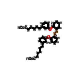 CCCCCCCCCCCCCCCc1cccc(Oc2ccccc2SSc2ccccc2Oc2cccc(CCCCCCCCCCCCCCC)c2)c1